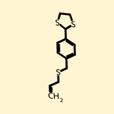 C=CCSCc1ccc(C2SCCS2)cc1